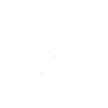 COc1ccccc1-c1nn(-c2ccc(C(=O)O)cc2)cc1C#N